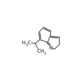 CC(C)c1cccc2c1=NCCC=2